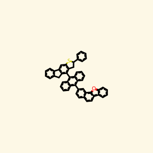 c1ccc(C2Cc3c(cc4c(c3-c3c5ccccc5c(-c5ccc6ccc7c8ccccc8oc7c6c5)c5ccccc35)Cc3ccccc3-4)S2)cc1